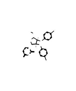 Cc1ccc(S[C@@]2(O)[C@@H](CO)O[C@@H](n3ccc(=O)[nH]c3=O)[C@@]2(O)Sc2ccc(C)cc2)cc1